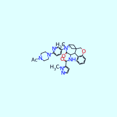 CC(=O)N1CCN(c2ccc([N+]3(C)C(=O)C(NC(=O)c4ccnn4C)C4c5ccccc5OCC45CC3C5)cn2)CC1